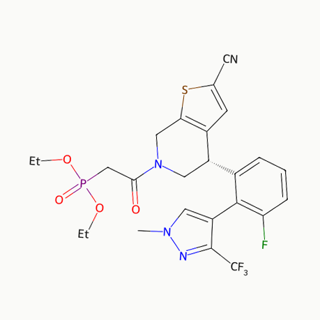 CCOP(=O)(CC(=O)N1Cc2sc(C#N)cc2[C@H](c2cccc(F)c2-c2cn(C)nc2C(F)(F)F)C1)OCC